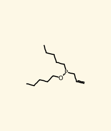 C=CCP(CCCCC)OCCCCC